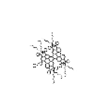 CCCCCC(CCCCC)n1c(=O)c2ccc3c4ccc5c(=O)n(C(CCCCC)CCCCC)c(=O)c6cc7c8c9cc%10c(=O)n(C(CCCCC)CCCCC)c(=O)c%11cc(OCCOC)c%12c%13ccc%14c(=O)n(C(CCCCC)CCCCC)c(=O)c%15cc(c8c8cc(c1=O)c2c3c8c7c4c56)c(c%13c%14%15)c9c%12c%11%10